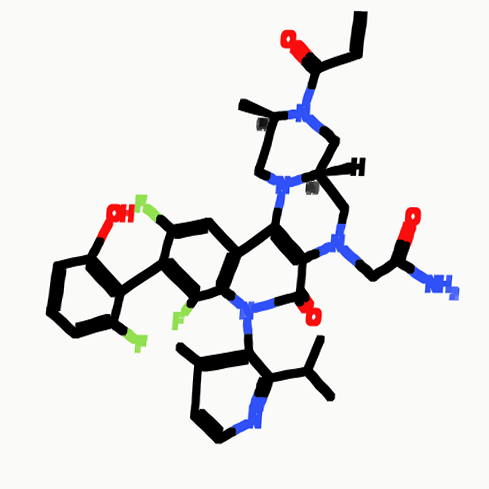 C=CC(=O)N1C[C@@H]2CN(CC(N)=O)c3c(c4cc(F)c(-c5c(O)cccc5F)c(F)c4n(-c4c(C)ccnc4C(C)C)c3=O)N2C[C@H]1C